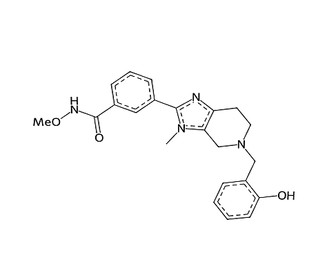 CONC(=O)c1cccc(-c2nc3c(n2C)CN(Cc2ccccc2O)CC3)c1